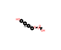 C=C(CO)C(=O)OCCOc1cccc(-c2ccc(-c3ccc(-c4ccc(O)cc4)cc3CCCCCCC)cc2)c1